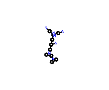 N#Cc1ccc(-c2cc(-c3ccc(-c4ccc(-c5ccc(-n6c7ccccc7c7cc(-n8c9ccccc9c9ccccc98)ccc76)cc5)cc4C#N)cc3)nc(-c3ccc(C#N)cc3)n2)cc1